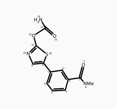 CNC(=O)c1cccc(-c2cnc(OC(N)=O)s2)c1